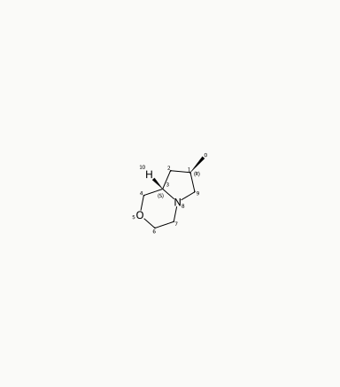 C[C@@H]1C[C@H]2COCCN2C1